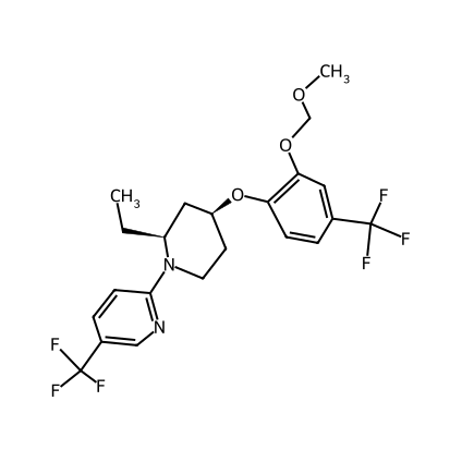 CC[C@H]1C[C@@H](Oc2ccc(C(F)(F)F)cc2OCOC)CCN1c1ccc(C(F)(F)F)cn1